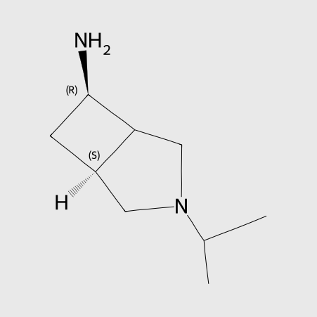 CC(C)N1CC2[C@H](C[C@H]2N)C1